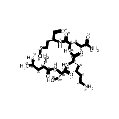 CSCC[C@@H]([C]=O)NC(=O)[C@H](CCC(N)=O)NC(=O)[C@H](CCCCN)NC(=O)[C@H](CO)NC(=O)[C@@H](N)CC(C)C